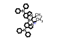 C=CC1=C2B(c3ccc(N(c4ccccc4)c4ccccc4)c4ccn1c34)c1ccc(N(c3ccccc3)c3ccccc3)c3ccn(c13)/C2=C/C